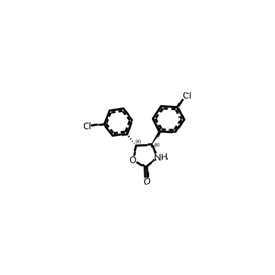 O=C1N[C@H](c2ccc(Cl)cc2)[C@@H](c2cccc(Cl)c2)O1